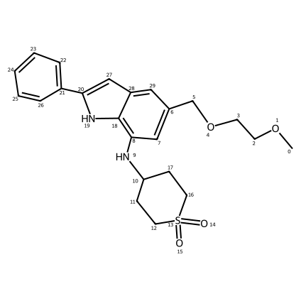 COCCOCc1cc(NC2CCS(=O)(=O)CC2)c2[nH]c(-c3ccccc3)cc2c1